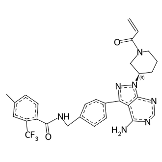 C=CC(=O)N1CCC[C@@H](n2nc(-c3ccc(CNC(=O)c4ccc(C)cc4C(F)(F)F)cc3)c3c(N)ncnc32)C1